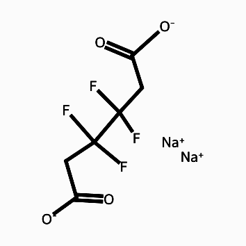 O=C([O-])CC(F)(F)C(F)(F)CC(=O)[O-].[Na+].[Na+]